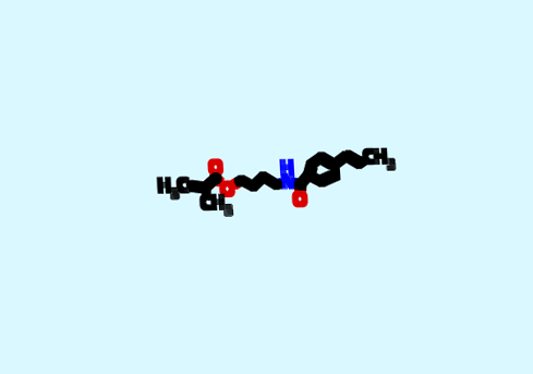 C/C=C/c1ccc(C(=O)NCCCCOC(=O)/C(C)=C/C)cc1